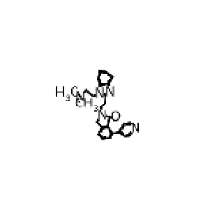 CN(C)CCn1c(CCN2Cc3cccc(-c4ccncc4)c3C2=O)nc2ccccc21